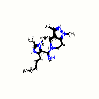 CCc1nn(C)c2c1CN(C(=N)c1c(CCCOC)nc(C)n1NC)CC2